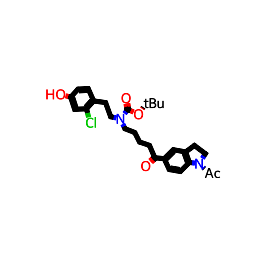 CC(=O)N1CCc2cc(C(=O)CCCCN(CCc3ccc(O)cc3Cl)C(=O)OC(C)(C)C)ccc21